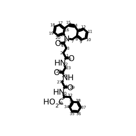 O=C(CCC(=O)N1Cc2ccccc2C#Cc2ccccc21)NCC(=O)NCC(=O)NC(Cc1ccccc1)C(=O)O